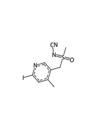 Cc1cc(I)ncc1CS(C)(=O)=NC#N